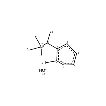 CC(c1ccccc1I)[N+](C)(C)C.[OH-]